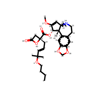 CCCCOC(C)(C)/C=C/C[C@]1(C(=O)O[C@@H]2C(OC)=C[C@]34CCCN3CCc3cc5c(cc3[C@H]24)OCO5)CC(=O)O1